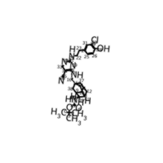 CC(C)(C)OC(=O)N[C@@H]1[C@@H]2CC3C[C@H]1C[C@@](CNc1nc(NCCc4ccc(O)c(Cl)c4)ncc1C#N)(C3)C2